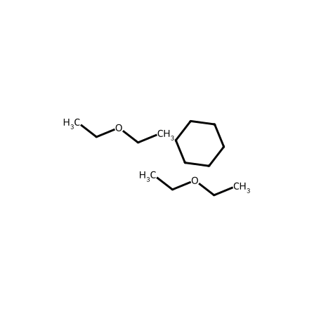 C1CCCCC1.CCOCC.CCOCC